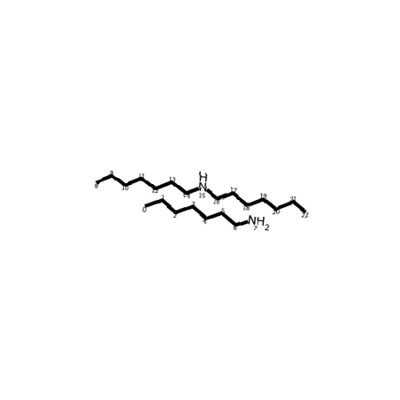 CCCCCCCN.CCCCCCCNCCCCCCC